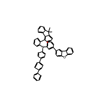 CC1(C)c2ccccc2-c2c(-c3ccccc3N(c3ccc(-c4ccc(-c5ccccc5)cc4)cc3)c3cccc(-c4ccc5oc6ccccc6c5c4)c3)cccc21